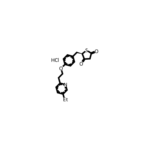 CCc1ccc(CCOc2ccc(C[C@H]3SC(=O)CC3=O)cc2)nc1.Cl